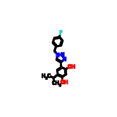 CC(C)c1cc(-c2cn(Cc3ccc(F)cc3)nn2)c(O)cc1O